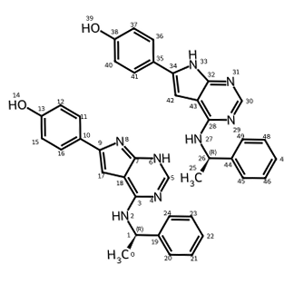 C[C@@H](Nc1nc[nH]c2nc(-c3ccc(O)cc3)cc1-2)c1ccccc1.C[C@@H](Nc1ncnc2[nH]c(-c3ccc(O)cc3)cc12)c1ccccc1